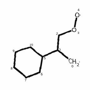 [CH2]C(CO[O])C1CCCCC1